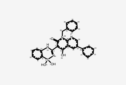 O=c1c(C2=NS(O)(O)c3ccccc3N2)c(O)c2cc(-c3ccccc3)cnc2n1Cc1ccccc1